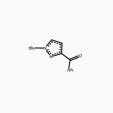 CCCC(=O)c1ccn(C(C)(C)C)n1